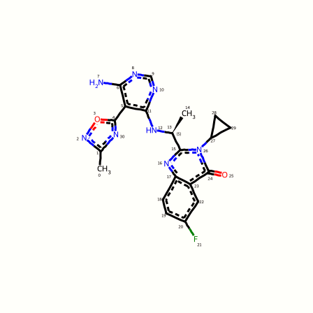 Cc1noc(-c2c(N)ncnc2N[C@@H](C)c2nc3ccc(F)cc3c(=O)n2C2CC2)n1